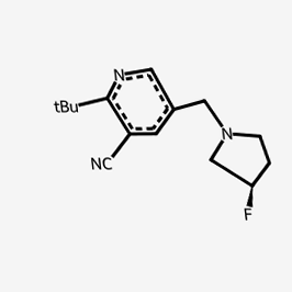 CC(C)(C)c1ncc(CN2CC[C@@H](F)C2)cc1C#N